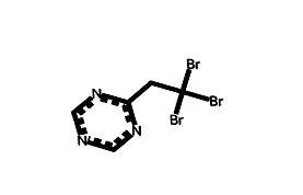 BrC(Br)(Br)Cc1ncncn1